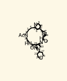 CC(=O)N1CCCc2cc(ccn2)-c2nc(cs2)C(=O)Nc2cn(C3CCOCC3)nc2C(=O)NCC1